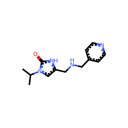 CC(C)n1cc(CNCc2ccncc2)[nH]c1=O